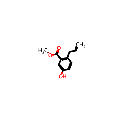 C=CCc1ccc(O)cc1C(=O)OC